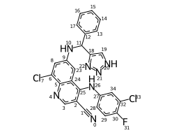 N#Cc1cnc2c(Cl)cc(NC(c3ccccc3)c3c[nH]nn3)cc2c1Nc1ccc(F)c(Cl)c1